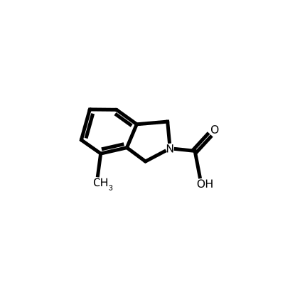 Cc1cccc2c1CN(C(=O)O)C2